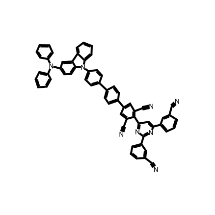 N#Cc1cccc(-c2cc(-c3c(C#N)cc(-c4ccc(-c5ccc(-n6c7ccccc7c7cc(N(c8ccccc8)c8ccccc8)ccc76)cc5)cc4)cc3C#N)nc(-c3cccc(C#N)c3)n2)c1